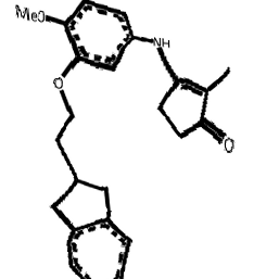 COc1ccc(NC2=C(C)C(=O)CC2)cc1OCCC1Cc2ccccc2C1